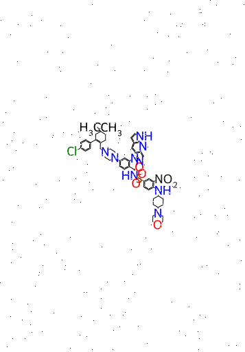 CC1(C)CCC(CN2CCN(c3ccc(C(=O)NS(=O)(=O)c4ccc(NC5CCC(N6CCOCC6)CC5)c([N+](=O)[O-])c4)c(-n4ncc5nc6[nH]ccc6cc54)c3)CC2)=C(c2ccc(Cl)cc2)C1